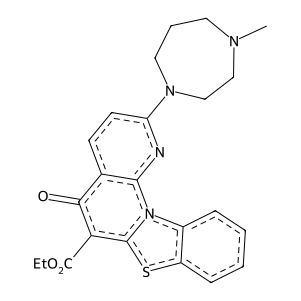 CCOC(=O)c1c(=O)c2ccc(N3CCCN(C)CC3)nc2n2c1sc1ccccc12